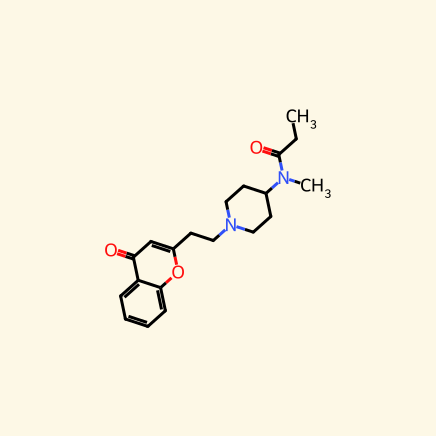 CCC(=O)N(C)C1CCN(CCc2cc(=O)c3ccccc3o2)CC1